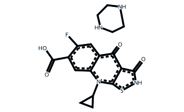 C1CNCCN1.O=C(O)c1cc2c(cc1F)c(=O)c1c(=O)[nH]sc1n2C1CC1